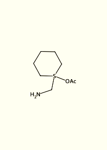 CC(=O)OS1(CN)CCCCC1